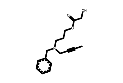 CC#CCN(CCCOC(=O)CO)Cc1ccccc1